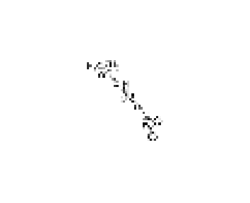 C=C(C)C(=O)OCCOCCNC(=O)OCCOCCOC(=O)c1ccccc1C(=O)c1ccccc1